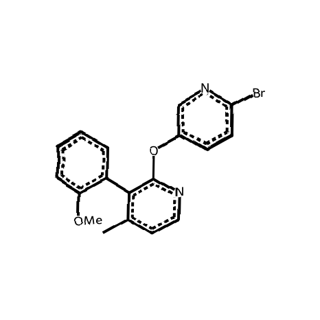 COc1ccccc1-c1c(C)ccnc1Oc1ccc(Br)nc1